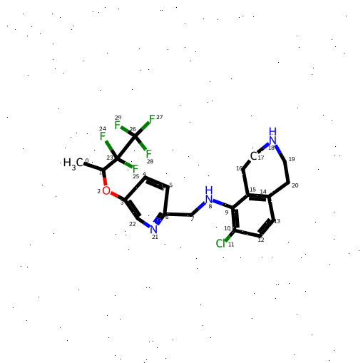 CC(Oc1ccc(CNc2c(Cl)ccc3c2CCNCC3)nc1)C(F)(F)C(F)(F)F